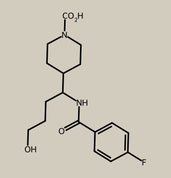 O=C(NC(CCCO)C1CCN(C(=O)O)CC1)c1ccc(F)cc1